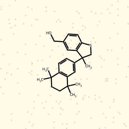 CC1(C)CCC(C)(C)c2cc(C3(C)CSc4ccc(CO)cc43)ccc21